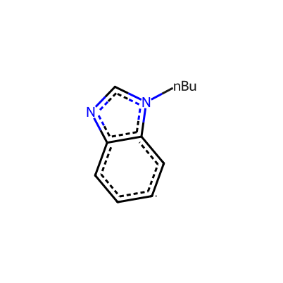 CCCCn1cnc2cc[c]cc21